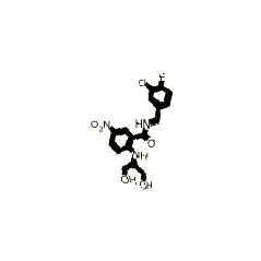 O=C(NCc1ccc(F)c(Cl)c1)c1cc([N+](=O)[O-])ccc1NC(CO)CO